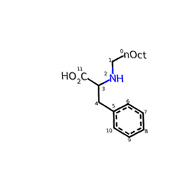 CCCCCCCCCNC(Cc1ccccc1)C(=O)O